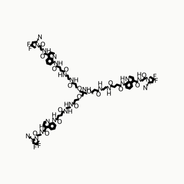 N#C[C@@H]1CC(F)(F)CN1C(=O)CNC(=O)c1ccnc2c(NC(=O)CCC(=O)NCCNC(=O)CCOCC(N)(COCCC(=O)NCCNC(=O)CCC(=O)Nc3cccc4c(C(=O)NCC(=O)N5CC(F)(F)C[C@H]5C#N)ccnc34)COCCC(=O)NCCNC(=O)CCC(=O)Nc3cccc4c(C(=O)NCC(=O)N5CC(F)(F)C[C@H]5C#N)ccnc34)cccc12